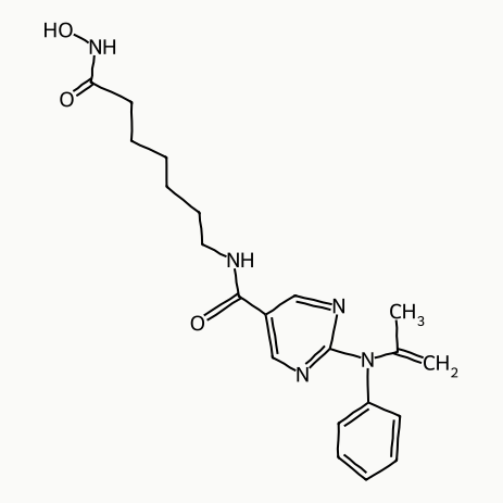 C=C(C)N(c1ccccc1)c1ncc(C(=O)NCCCCCCC(=O)NO)cn1